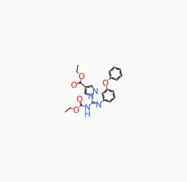 CCOC(=O)NC(=Nc1cccc(Oc2ccccc2)c1)n1cc(C(=O)OCC)cn1